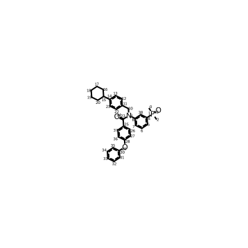 CP(C)(=O)c1cccc(N(Cc2ccc(C3CCCCC3)cc2)C(=O)c2ccc(Oc3ccccc3)cc2)c1